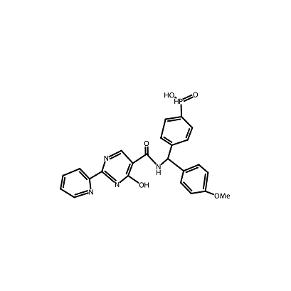 COc1ccc(C(NC(=O)c2cnc(-c3ccccn3)nc2O)c2ccc([PH](=O)O)cc2)cc1